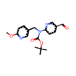 COc1ccc(CN(C(=O)OC(C)(C)C)c2ccc(C=O)cn2)cn1